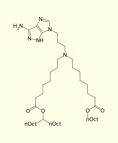 CCCCCCCCOC(=O)CCCCCCCN(CCCCCCCC(=O)OC(CCCCCCCC)CCCCCCCC)CCCn1cnc2c(N)n[nH]c21